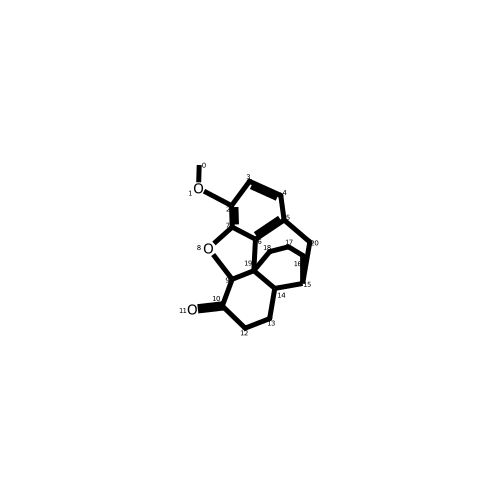 COc1ccc2c3c1OC1C(=O)CCC4C(CCCC314)C2